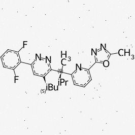 CC[C@H](C)c1cc(-c2c(F)cccc2F)nnc1[C@](C)(c1cccc(-c2nnc(C)o2)n1)C(C)C